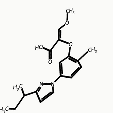 CCC(C)c1ccn(-c2ccc(C)c(O/C(=C\OC)C(=O)O)c2)n1